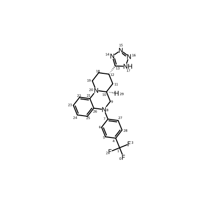 FC(F)(F)c1ccc(N2C[C@@H]3C[C@@H](c4nnn[nH]4)CCN3c3ccccc32)cc1